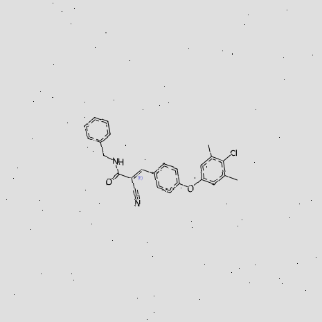 Cc1cc(Oc2ccc(/C=C(\C#N)C(=O)NCc3ccccc3)cc2)cc(C)c1Cl